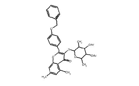 CC(=O)OC1C(C)OC(Oc2c(-c3ccc(OCc4ccccc4)cc3)oc3cc(C)cc(C)c3c2=O)C(C)C1OC(C)=O